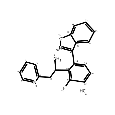 Cl.NC(Cc1ccccn1)c1c(F)cccc1-c1noc2ccccc12